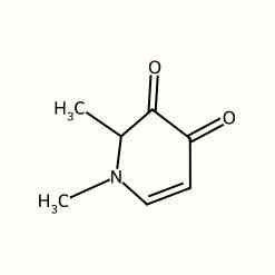 CC1C(=O)C(=O)C=CN1C